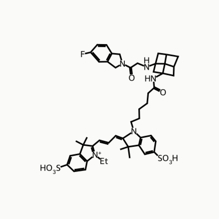 CC[N+]1=C(/C=C/C=C2/N(CCCCCC(=O)NC34CC5CC6CC(NCC(=O)N7Cc8ccc(F)cc8C7)(C3)C654)c3ccc(S(=O)(=O)O)cc3C2(C)C)C(C)(C)c2cc(S(=O)(=O)O)ccc21